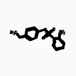 CCc1ccc(OS(=O)(=O)c2ccccc2C)cc1